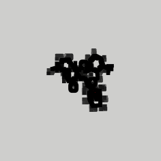 Cc1cccc(F)c1COC1CC2CCC(C1)N2CCCn1c(=O)nc2n(C)ccn2c1=O